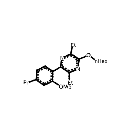 CCCCCCOc1nc(CC)c(-c2ccc(C(C)C)cc2OC)nc1CC